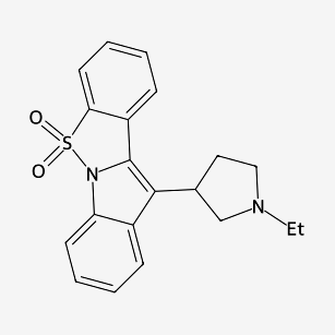 CCN1CCC(c2c3n(c4ccccc24)S(=O)(=O)c2ccccc2-3)C1